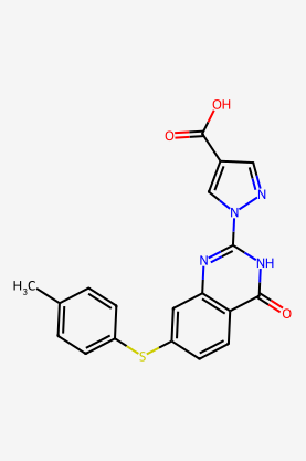 Cc1ccc(Sc2ccc3c(=O)[nH]c(-n4cc(C(=O)O)cn4)nc3c2)cc1